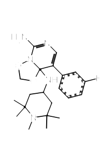 CN1C(C)(C)CC(NC23OCON2C(N)=NC=C3c2cccc(F)c2)CC1(C)C